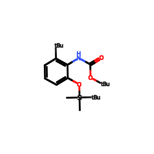 CC(C)(C)OC(=O)Nc1c(O[Si](C)(C)C(C)(C)C)cccc1C(C)(C)C